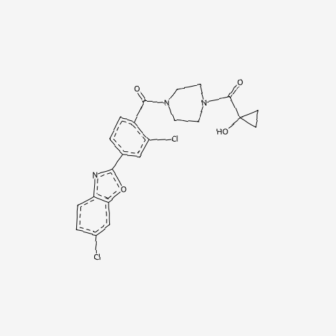 O=C(c1ccc(-c2nc3ccc(Cl)cc3o2)cc1Cl)N1CCN(C(=O)C2(O)CC2)CC1